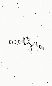 CCOC(=O)[C@H](N)CCC(=O)OC(C)(C)C